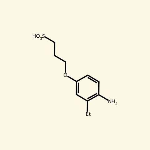 CCc1cc(OCCCS(=O)(=O)O)ccc1N